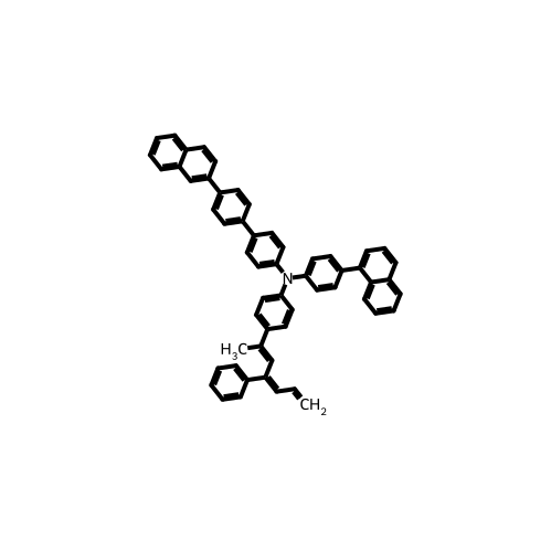 C=C/C=C(\C=C(/C)c1ccc(N(c2ccc(-c3ccc(-c4ccc5ccccc5c4)cc3)cc2)c2ccc(-c3cccc4ccccc34)cc2)cc1)c1ccccc1